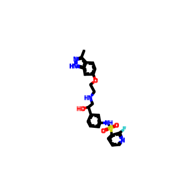 Cc1n[nH]c2cc(OCCNCC(O)c3cccc(NS(=O)(=O)c4cccnc4F)c3)ccc12